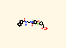 O=C(O)C[C@H]1CC[C@@H](Oc2cc(F)c(C(=O)NCCNC(=O)c3ccc4ccccc4c3)cc2F)CC1